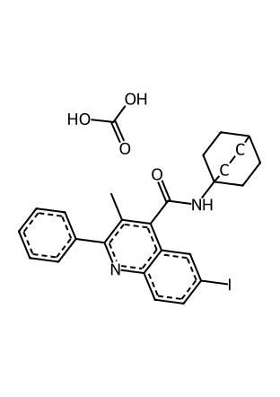 Cc1c(-c2ccccc2)nc2ccc(I)cc2c1C(=O)NC12CCC(CC1)CC2.O=C(O)O